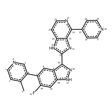 Cc1ccncc1-c1cc2c(-c3nc4c(-c5ccncc5)nccc4[nH]3)n[nH]c2cc1F